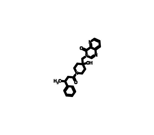 CC(CC(=O)N1CCC(O)(Cn2cnc3cccnc3c2=O)CC1)c1ccccc1